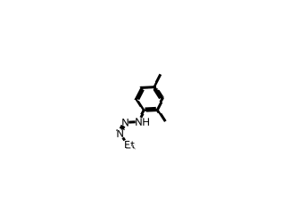 CC/N=N\Nc1ccc(C)cc1C